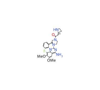 COc1cc2c(N)nc(N3CCN(C(=O)C[C@@H]4CCN4)C[C@@H]3c3ccccc3)nc2c(F)c1OC